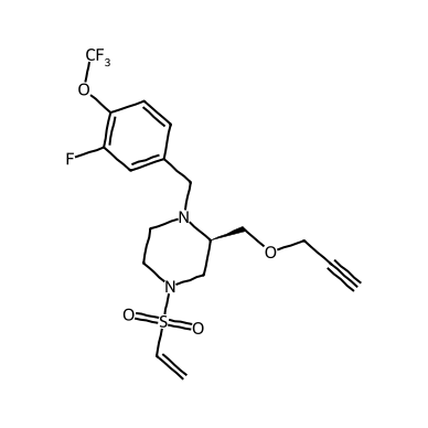 C#CCOC[C@H]1CN(S(=O)(=O)C=C)CCN1Cc1ccc(OC(F)(F)F)c(F)c1